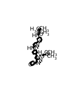 CC(C)(C)OC(=O)N[C@@H]1CCCN(c2ccc(Nc3ccc(-c4cc5c(N6CCOCC6)ncnc5n4COCC[Si](C)(C)C)cc3)nn2)C1